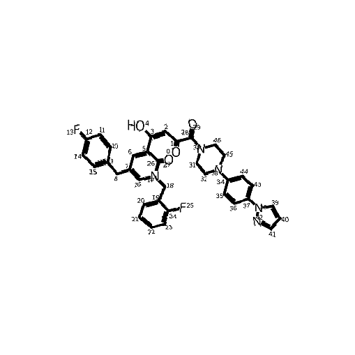 O=C(/C=C(/O)c1cc(Cc2ccc(F)cc2)cn(Cc2ccccc2F)c1=O)C(=O)N1CCN(c2ccc(-n3cccn3)cc2)CC1